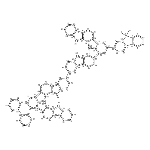 CC1(C)c2ccccc2-c2ccc(-c3cc4c5ccc6c7ccccc7oc6c5n5c4c(c3)c3ccc4c6cc(-c7ccc8oc9c(ccc%10c%11cc(-c%12ccccc%12-c%12ccccc%12)cc%12c%13ccc%14c%15ccccc%15oc%14c%13n(c%12%11)c%109)c8c7)ccc6oc4c35)cc21